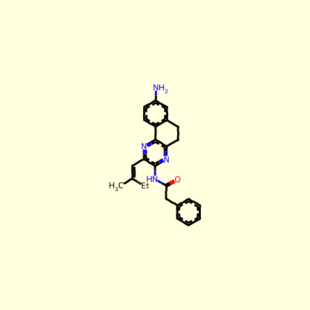 CC/C(C)=C\c1nc2c(nc1NC(=O)Cc1ccccc1)CCc1cc(N)ccc1-2